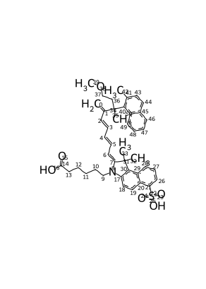 C=C(/C=C/C=C/C=C1/N(CCCCCC(=O)O)c2ccc3c(S(=O)(=O)O)cccc3c2C1(C)C)C(C)(CCOC)c1c(C)ccc2ccccc12